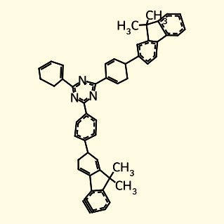 CC1(C)C2=CC(c3ccc(-c4nc(C5=CCC(c6ccc7c(c6)C(C)(C)c6ccccc6-7)C=C5)nc(C5=CC=CCC5)n4)cc3)CC=C2c2c#cccc21